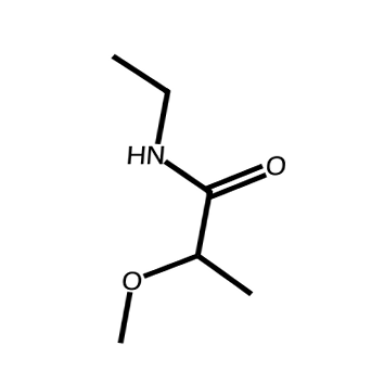 CCNC(=O)C(C)OC